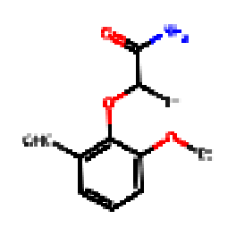 CCOc1cccc(C=O)c1OC(CC)C(N)=O